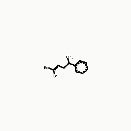 CC(CC=C(Br)Br)c1ccccc1